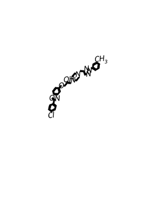 Cc1cccc(-n2ncc(CN3CCN(C[C@@H](O)COc4ccc5oc(-c6ccc(Cl)cc6)nc5c4)CC3)n2)c1